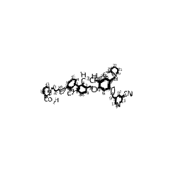 Cc1c(COc2cc(OCc3cncc(C#N)c3)c(CN3CCCC[C@H]3C)cc2Cl)cccc1-c1cccc(OCCCN2CCC[C@H](C(=O)O)C2)c1C